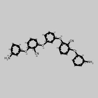 N#Cc1c(Oc2cccc(N)c2)cccc1Oc1cccc(Oc2cccc(Oc3cccc(N)c3)c2C#N)c1